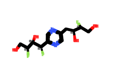 OC[C@H](F)[C@@H](O)[C@@H](F)c1cnc(C[C@H](O)[C@@H](F)CO)cn1